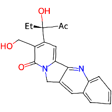 CC[C@@](O)(C(C)=O)c1cc2n(c(=O)c1CO)Cc1cc3ccccc3nc1-2